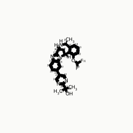 C[C@@H]1N[C@@H]2C[C@H](c3c(OC(F)F)cccc31)n1c2nc2ccc(-c3cnc(C(C)(C)O)nc3)cc21